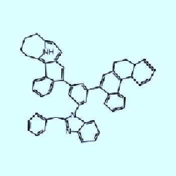 C1=CC2CCc3cc(-c4cc(-c5cc6c(c7ccccc57)=C5CCCCC(=CC=6)N5)cc(-n5c(Cc6ccccc6)nc6ccccc65)c4)c4ccccc4c3C2C=C1